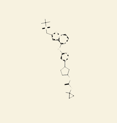 CC1(NC(=O)OC2CCC(c3cc(Nc4nccn5nc(CS(=O)(=O)C(F)(F)F)cc45)n[nH]3)C2)CC1